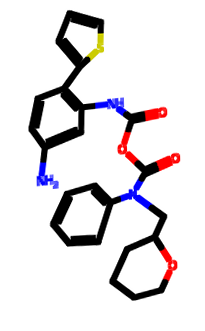 Nc1ccc(-c2cccs2)c(NC(=O)OC(=O)N(CC2CCCCO2)c2ccccc2)c1